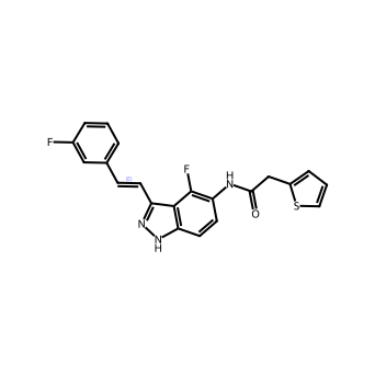 O=C(Cc1cccs1)Nc1ccc2[nH]nc(/C=C/c3cccc(F)c3)c2c1F